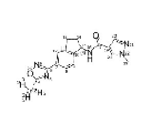 [2H]C([2H])([2H])c1nc(-c2ccc3c(c2)CC[C@H]3NC(=O)c2cnn(C)c2)no1